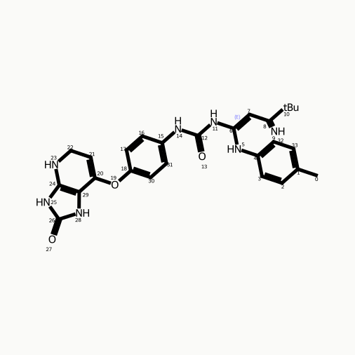 Cc1ccc(N/C(=C\C(=N)C(C)(C)C)NC(=O)Nc2ccc(OC3=CCNc4[nH]c(=O)[nH]c43)cc2)cc1